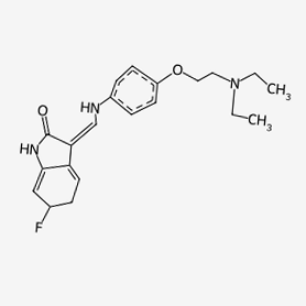 CCN(CC)CCOc1ccc(NC=C2C(=O)NC3=CC(F)CC=C32)cc1